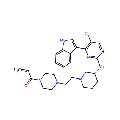 C=CC(=O)N1CCN(CCN2CCC[C@@H](Nc3ncc(Cl)c(-c4c[nH]c5ccccc45)n3)C2)CC1